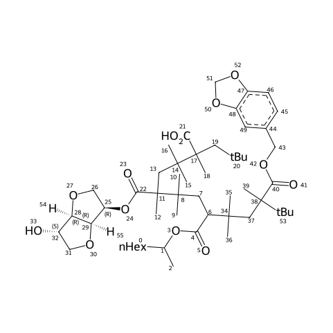 CCCCCCC(C)OC(=O)C(CC(C)(C)C(C)(CC(C)(C)C(C)(CC(C)(C)C)C(=O)O)C(=O)O[C@@H]1CO[C@H]2[C@@H]1OC[C@@H]2O)C(C)(C)CC(C)(C(=O)OCc1ccc2c(c1)OCO2)C(C)(C)C